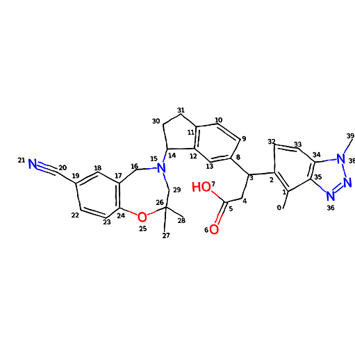 Cc1c(C(CC(=O)O)c2ccc3c(c2)C(N2Cc4cc(C#N)ccc4OC(C)(C)C2)CC3)ccc2c1nnn2C